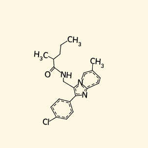 CCCC(C)C(=O)NCc1c(-c2ccc(Cl)cc2)nc2ccc(C)cn12